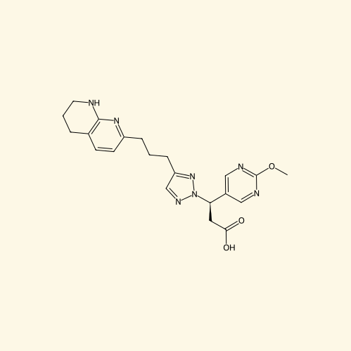 COc1ncc([C@@H](CC(=O)O)n2ncc(CCCc3ccc4c(n3)NCCC4)n2)cn1